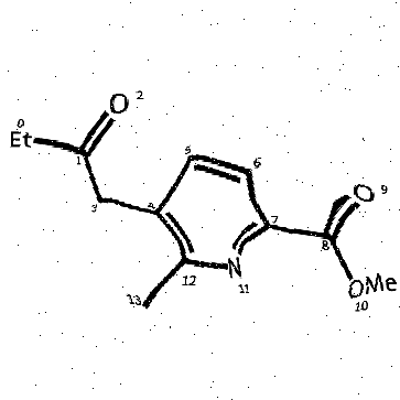 CCC(=O)Cc1ccc(C(=O)OC)nc1C